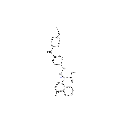 COC(=O)/C(=N\N(C)c1ccc(Nc2ccc(OC)cc2)cc1)c1cc[n+](C)c2ccccc12